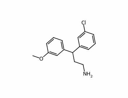 COc1cccc(C(CCN)c2cccc(Cl)c2)c1